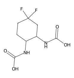 O=C(O)NC1CCC(F)(F)CC1NC(=O)O